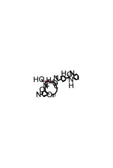 C[C@@H]1CCCCO[C@@H](CN(C)Cc2ccc(C(=O)Nc3ccccc3N)cc2)[C@H]2C[C@@H](CO)N(C2)C(=O)c2cc(N(C)C)ccc2O1